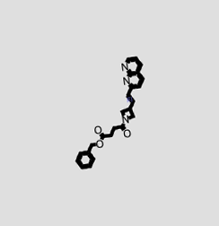 O=C(CCC(=O)N1CC(/C=C/c2ccc3cccnc3n2)C1)OCc1ccccc1